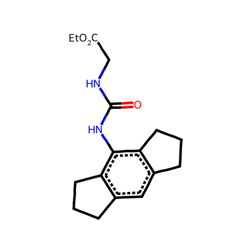 CCOC(=O)CNC(=O)Nc1c2c(cc3c1CCC3)CCC2